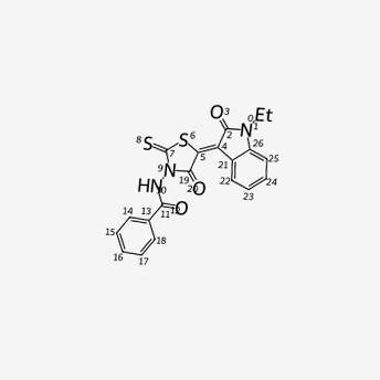 CCN1C(=O)/C(=C2\SC(=S)N(NC(=O)c3ccccc3)C2=O)c2ccccc21